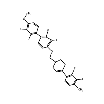 CCCCOc1ccc(-c2ccc(OCC3CC=C(c4ccc(C)c(F)c4F)CC3)c(F)c2F)c(F)c1F